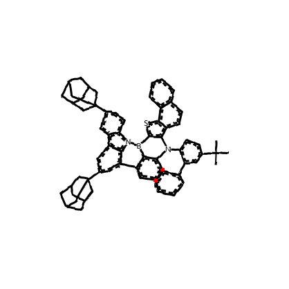 Cc1cc2c3c(c1)N(c1ccc(C(C)(C)C)cc1-c1ccccc1)c1c(sc4c1ccc1ccccc14)B3n1c3ccc(C45CC6CC(CC(C6)C4)C5)cc3c3cc(C45CC6CC(CC(C6)C4)C5)cc-2c31